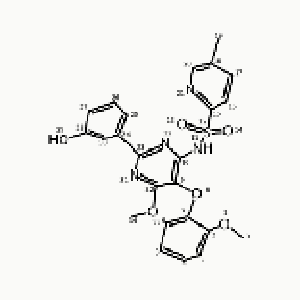 COc1ccccc1Oc1c(NS(=O)(=O)c2ccc(C)cn2)nc(-c2cccc(O)c2)nc1OC